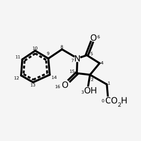 O=C(O)CC1(O)CC(=O)N(Cc2ccccc2)C1=O